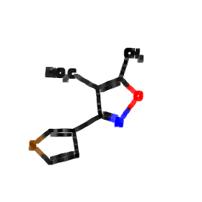 CCOC(=O)c1c(-c2ccsc2)noc1C